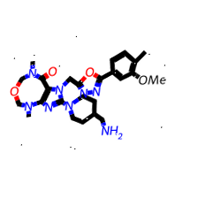 COc1cc(-c2nnc(Cn3c(N4CCC(CN)CC4)nc4c3C(=O)N(C)COCN4C)o2)ccc1C